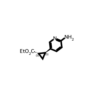 CCOC(=O)[C@H]1C[C@@H]1c1ccc(N)nc1